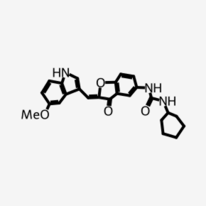 COc1ccc2[nH]cc(/C=C3\Oc4ccc(NC(=O)NC5CCCCC5)cc4C3=O)c2c1